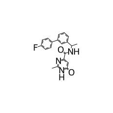 Cc1nc(C(=O)NC(C)c2cccc(-c3ccc(F)cc3)c2)cc(=O)[nH]1